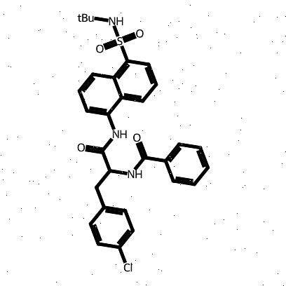 CC(C)(C)NS(=O)(=O)c1cccc2c(NC(=O)C(Cc3ccc(Cl)cc3)NC(=O)c3ccccc3)cccc12